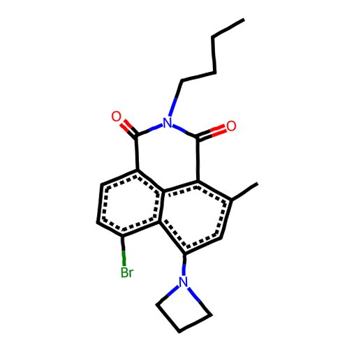 CCCCN1C(=O)c2ccc(Br)c3c(N4CCC4)cc(C)c(c23)C1=O